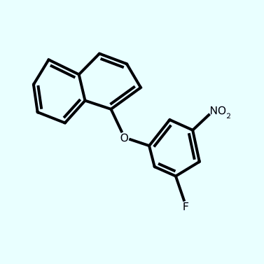 O=[N+]([O-])c1cc(F)cc(Oc2cccc3ccccc23)c1